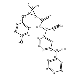 CC1(C)C(Oc2ccc(Cl)cc2)C1C(=O)OC(C#N)c1cccc(C(F)c2ccccc2)c1